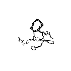 COc1ccccc1NS(=O)(=O)CCl